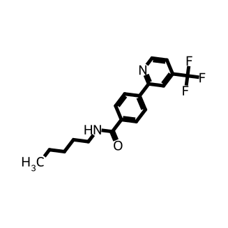 CCCCCNC(=O)c1ccc(-c2cc(C(F)(F)F)ccn2)cc1